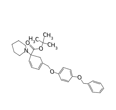 CC(C)(C)OC(=O)C1(N2CCCCC2)C=CC=C(COc2ccc(OCc3ccccc3)cc2)C1